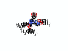 CC(C)(C)OC(=O)N1CCCC(c2cc(N(COCC[Si](C)(C)C)COCC[Si](C)(C)C)n3ncc(-c4ccc5c(c4)OCO5)c3n2)C1